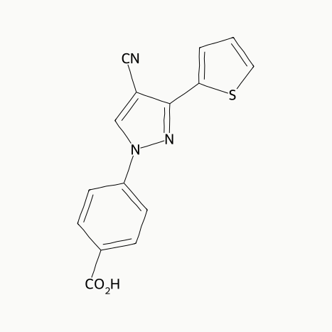 N#Cc1cn(-c2ccc(C(=O)O)cc2)nc1-c1cccs1